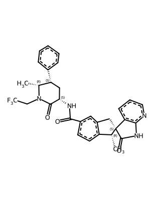 C[C@@H]1[C@H](c2ccccc2)C[C@H](NC(=O)c2ccc3c(c2)C[C@]2(C(=O)Nc4ncccc42)[C@@H]3C)C(=O)N1CC(F)(F)F